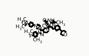 CCP(=O)(CC)c1ccc(N2C=CN(c3c4c(nn3-c3cc(C)c(F)c(C)c3)CCN(C(=O)c3cc5cc(C6CCOCC6)ccc5n3C3(c5noc(=O)[nH]5)CC3C)C4C)C2)cc1